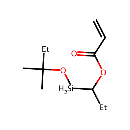 C=CC(=O)OC(CC)[SiH2]OC(C)(C)CC